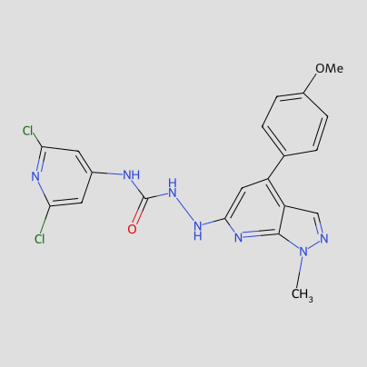 COc1ccc(-c2cc(NNC(=O)Nc3cc(Cl)nc(Cl)c3)nc3c2cnn3C)cc1